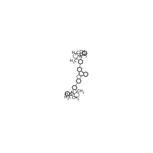 CC(C)(C)C12CCCCC1(C)c1cc(-c3ccc4c(c3)Cc3c-4c4ccccc4c4cc(-c5ccc6c(c5)C5(C)CCCCC5(C(C)(C)C)N6c5ccccc5)ccc34)ccc1N2c1ccccc1